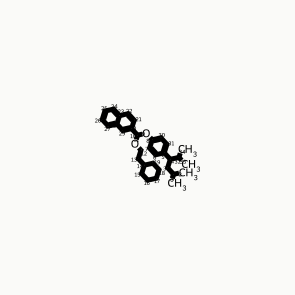 CC(C)CC(c1ccc(OC(OCCC2CCCCC2)c2ccc3ccccc3c2)cc1)C(C)C